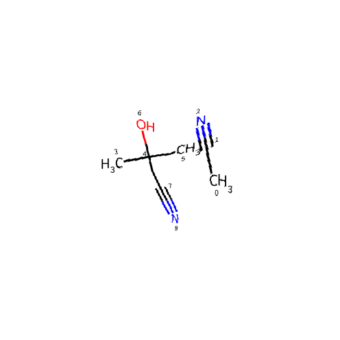 CC#N.CC(C)(O)C#N